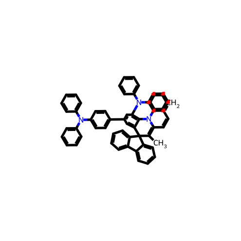 C=C/C=C\C1=C(C)C2(c3ccccc3-c3ccccc32)c2cc(-c3ccc(N(c4ccccc4)c4ccccc4)cc3)cc(N(c3ccccc3)c3ccccc3)c2N1c1ccccc1